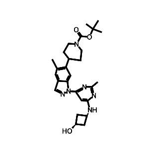 Cc1nc(N[C@H]2C[C@H](O)C2)cc(-n2ncc3cc(C)c(C4CCN(C(=O)OC(C)(C)C)CC4)cc32)n1